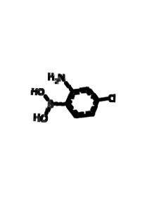 Nc1cc(Cl)ccc1B(O)O